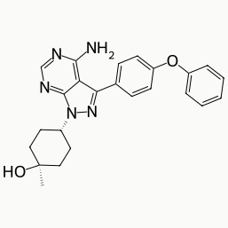 C[C@]1(O)CC[C@H](n2nc(-c3ccc(Oc4ccccc4)cc3)c3c(N)ncnc32)CC1